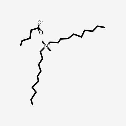 CCCCC(=O)[O-].CCCCCCCCCC[N+](C)(C)CCCCCCCCCC